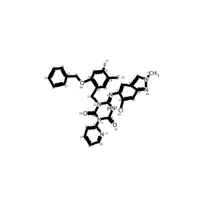 Cn1cc2cc(/N=c3\[nH]c(=O)n(-c4ccccn4)c(=O)n3Cc3cc(F)c(F)cc3OCc3ccccc3)c(Cl)cc2n1